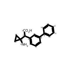 NC1(C(C(=O)O)c2cccc(-c3ccccc3)c2)CC1